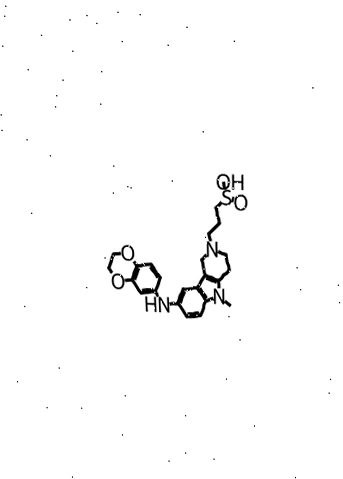 Cn1c2c(c3cc(Nc4ccc5c(c4)OCCO5)ccc31)CN(CCCS(=O)O)CC2